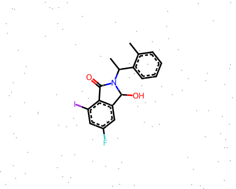 Cc1ccccc1C(C)N1C(=O)c2c(I)cc(F)cc2C1O